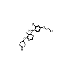 Cc1c(Nc2ccc(OCCO)cc2F)ncnc1OC1CCNCC1